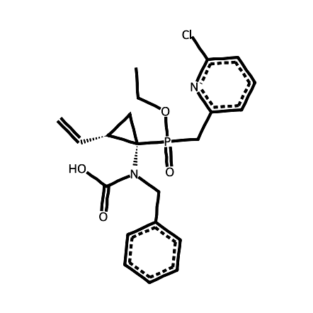 C=C[C@@H]1C[C@@]1(N(Cc1ccccc1)C(=O)O)P(=O)(Cc1cccc(Cl)n1)OCC